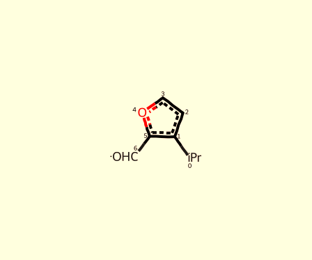 CC(C)c1ccoc1[C]=O